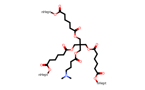 CCCCCCCOC(=O)CCCCC(=O)OCC(COC(=O)CCCCC(=O)OCCCCCCC)(COC(=O)CCCCC(=O)OCCCCCCC)COC(=O)CCCN(C)C